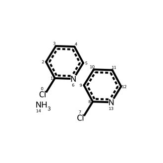 Clc1ccccn1.Clc1ccccn1.N